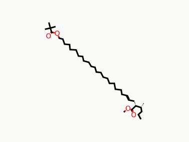 CCC[C@@H](C)[C@@H](CC=CCCCCCCCCCCCCCCCCCCCCCOC(=O)C(C)(C)C)C(=O)OC